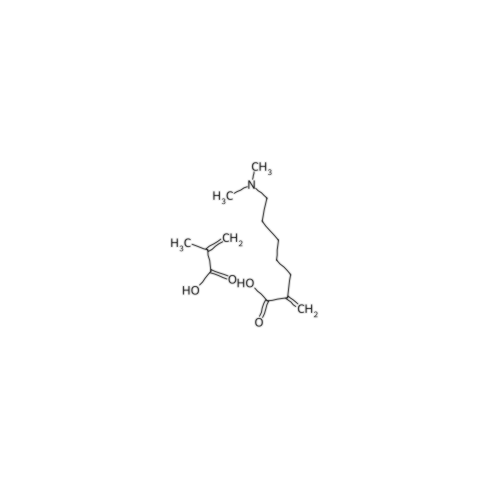 C=C(C)C(=O)O.C=C(CCCCCN(C)C)C(=O)O